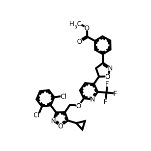 COC(=O)c1cccc(C2=NOC(c3ccc(OCc4c(-c5c(Cl)cccc5Cl)noc4C4CC4)nc3C(F)(F)F)C2)c1